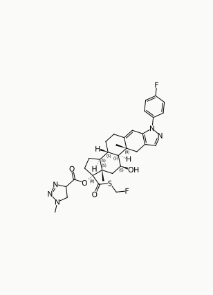 CN1CC(C(=O)O[C@]2(C(=O)SCF)CC[C@H]3[C@@H]4CCC5=Cc6c(cnn6-c6ccc(F)cc6)C[C@]5(C)[C@H]4[C@@H](O)C[C@@]32C)N=N1